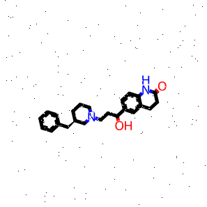 O=C1CCc2cc(C(O)CCN3CCC[C@H](Cc4ccccc4)C3)ccc2N1